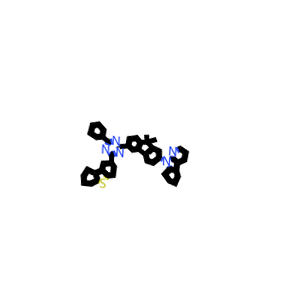 CC1(C)c2ccc(-c3nc(-c4ccccc4)nc(-c4ccc5sc6ccccc6c5c4)n3)cc2-c2ccc(-n3c4ccccc4c4cccnc43)cc21